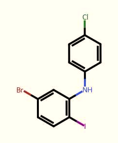 Clc1ccc(Nc2cc(Br)ccc2I)cc1